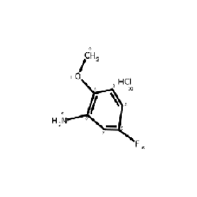 COc1ccc(F)cc1N.Cl